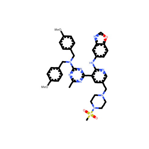 COc1ccc(CN(Cc2ccc(OC)cc2)c2nc(C)nc(-c3cc(CN4CCN(S(C)(=O)=O)CC4)cnc3Nc3ccc4ocnc4c3)n2)cc1